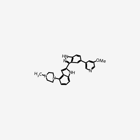 COc1cncc(-c2ccc3[nH]nc(-c4cc5c(N6CCN(C)CC6)cccc5[nH]4)c3c2)c1